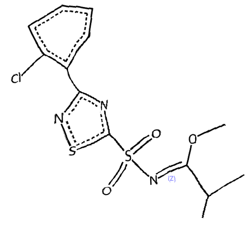 CO/C(=N\S(=O)(=O)c1nc(-c2ccccc2Cl)ns1)C(C)C